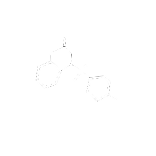 Cc1ccc(S(=O)(=O)N2CC(=O)Oc3ccccc32)cc1